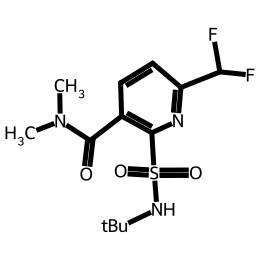 CN(C)C(=O)c1ccc(C(F)F)nc1S(=O)(=O)NC(C)(C)C